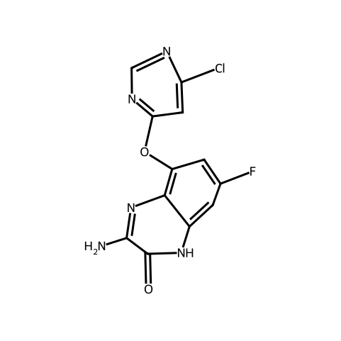 Nc1nc2c(Oc3cc(Cl)ncn3)cc(F)cc2[nH]c1=O